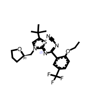 CCOc1ccc(C(F)(F)F)cc1C(=NC#N)/N=c1\sc(C(C)(C)C)cn1C[C@H]1CCCO1